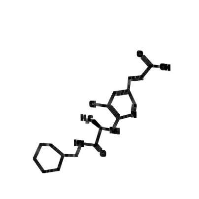 C[C@@H](Nc1ncc(/C=C/C(=O)O)cc1Cl)C(=O)NCC1CCCCC1